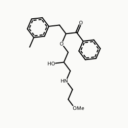 COCCNCC(O)COC(Cc1cccc(C)c1)C(=O)c1ccccc1